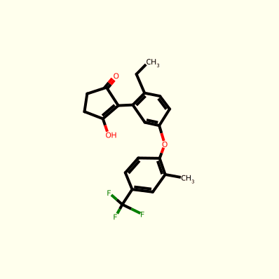 CCc1ccc(Oc2ccc(C(F)(F)F)cc2C)cc1C1=C(O)CCC1=O